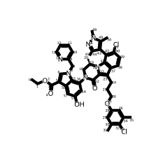 CCOC(=O)c1cn(Cc2ccccn2)c2c(N3C[C@@H](C)n4c(c(CCCOc5cc(C)c(Cl)c(C)c5)c5ccc(Cl)c(-c6c(C)nn(C)c6C)c54)C3=O)cc(O)cc12